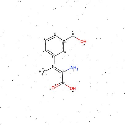 CC(=C(N)C(=O)O)c1cccc(CO)c1